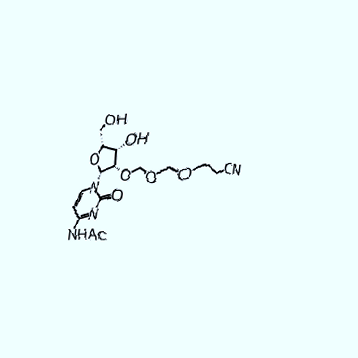 CC(=O)Nc1ccn([C@@H]2O[C@H](CO)[C@H](O)[C@@H]2OCOCOCCC#N)c(=O)n1